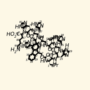 CC(C)C[C@H](NC(=O)OCC1c2ccccc2-c2ccccc21)C(=O)N[C@@H](Cc1c[nH]cn1)C(=O)N[C@@H](Cc1c[nH]cn1)C(=O)N[C@@H](CC(C)C)C(=O)N[C@@H](CC(C)C)C(=O)N[C@@H](Cc1c[nH]cn1)C(=O)N[C@@H](Cc1c[nH]cn1)C(=O)N[C@@H](Cc1c[nH]cn1)C(=O)N[C@@H](CCCCN)C(=O)O